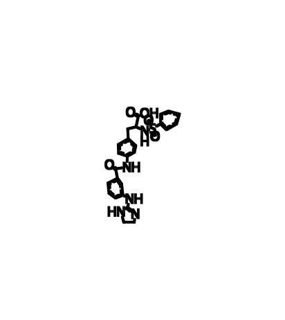 O=C(Nc1ccc(CC(NS(=O)(=O)c2ccccc2)C(=O)O)cc1)c1cccc(NC2=NCCN2)c1